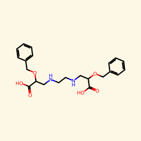 O=C(O)C(CNCCNCC(OCc1ccccc1)C(=O)O)OCc1ccccc1